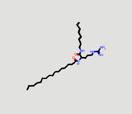 CCCCCCCCCCCCCCCC(=O)NC(CCCNC(=N)N)C(=O)NCCCCCCCC